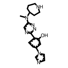 CN(c1cnc(-c2ccc(-n3ccnc3)cc2O)nn1)C1CCCNCC1